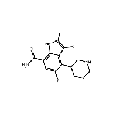 Cc1[nH]c2c(C(N)=O)cc(F)c(C3CCCNC3)c2c1Cl